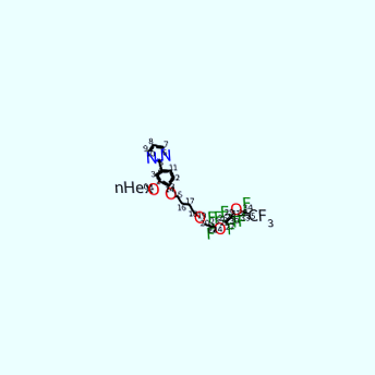 CCCCCCOc1cc(-c2ncccn2)ccc1OCCCCOCC(F)(F)OC(F)(F)C(F)(F)OC(F)(F)C(F)(F)F